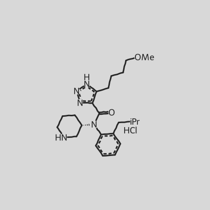 COCCCCc1[nH]nnc1C(=O)N(c1ccccc1CC(C)C)[C@H]1CCCNC1.Cl